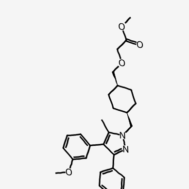 COC(=O)COC[C@H]1CC[C@@H](Cn2nc(-c3ccccc3)c(-c3cccc(OC)c3)c2C)CC1